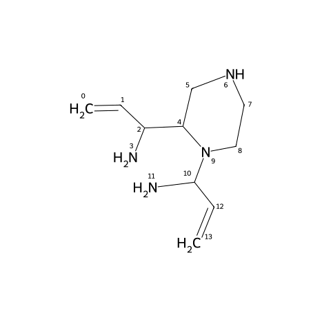 C=CC(N)C1CNCCN1C(N)C=C